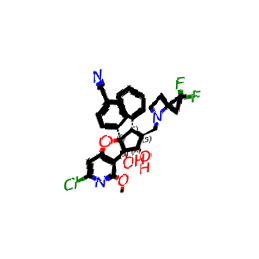 COc1nc(Cl)cc2c1[C@]1(O)[C@H](O)[C@H](CN3CCC34CC4(F)F)[C@@H](c3ccccc3)[C@]1(c1ccc(C#N)cc1)O2